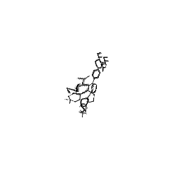 CC(C)c1nc2c(c3c1[C@@H](c1ccc(OC(F)(F)F)cc1)OC31CCCC1)[C@@H](O[Si](C)(C)C(C)(C)C)CC(C)(C)C2